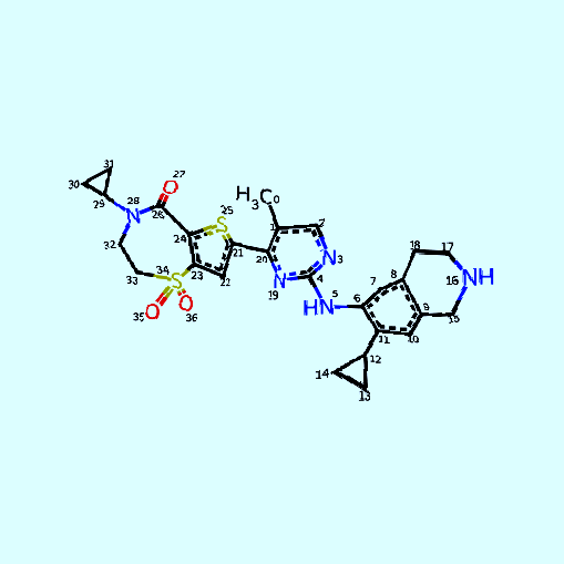 Cc1cnc(Nc2cc3c(cc2C2CC2)CNCC3)nc1-c1cc2c(s1)C(=O)N(C1CC1)CCS2(=O)=O